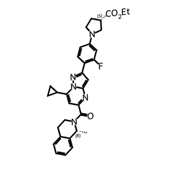 CCOC(=O)[C@H]1CCN(c2ccc(-c3cc4nc(C(=O)N5CCc6ccccc6[C@H]5C)cc(C5CC5)n4n3)c(F)c2)C1